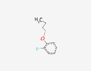 CCCCOc1[c]cccc1F